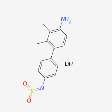 Cc1c(N)ccc(-c2ccc(N=S(=O)=O)cc2)c1C.[LiH]